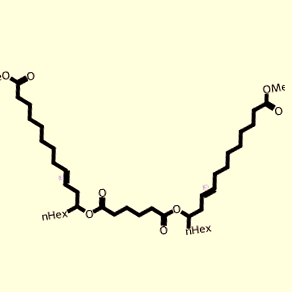 CCCCCCC(C/C=C/CCCCCCCC(=O)OC)OC(=O)CCCCC(=O)OC(C/C=C/CCCCCCCC(=O)OC)CCCCCC